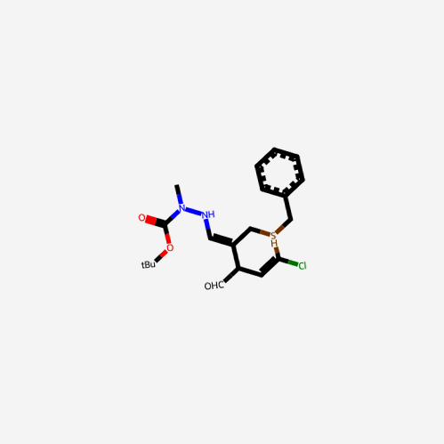 CN(NC=C1C[SH](Cc2ccccc2)C(Cl)=CC1C=O)C(=O)OC(C)(C)C